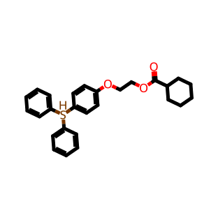 O=C(OCCOc1ccc([SH](c2ccccc2)c2ccccc2)cc1)C1CCCCC1